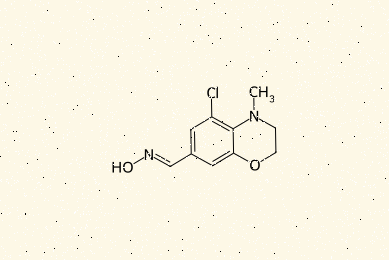 CN1CCOc2cc(C=NO)cc(Cl)c21